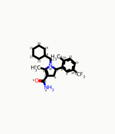 CC1=C(C(N)=O)CC(c2cc(C(F)(F)F)ccc2C)N1CC1CCCCC1